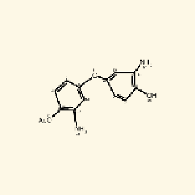 CC(=O)Oc1ccc(Oc2ccc(O)c(N)c2)cc1N